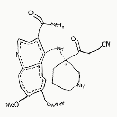 COc1cc2ncc(C(N)=O)c(N[C@@]3(C(=O)CC#N)CCCNC3)c2cc1OC